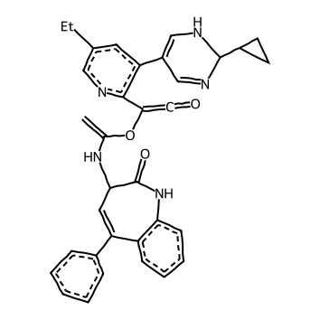 C=C(NC1C=C(c2ccccc2)c2ccccc2NC1=O)OC(=C=O)c1ncc(CC)cc1C1=CNC(C2CC2)N=C1